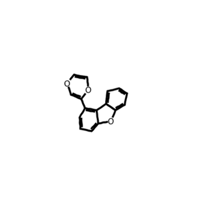 C1=COC(c2cccc3oc4ccccc4c23)=CO1